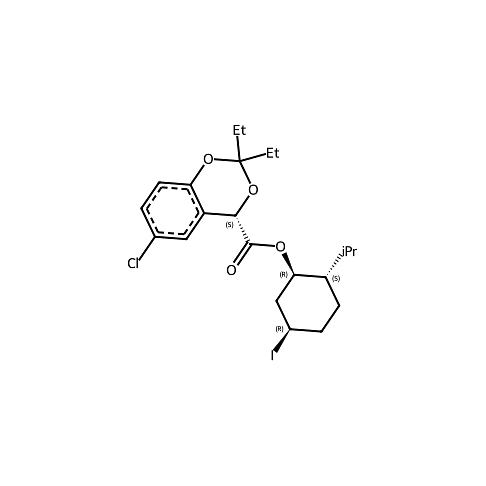 CCC1(CC)Oc2ccc(Cl)cc2[C@@H](C(=O)O[C@@H]2C[C@H](I)CC[C@H]2C(C)C)O1